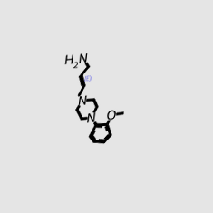 COc1ccccc1N1CCN(C/C=C/CN)CC1